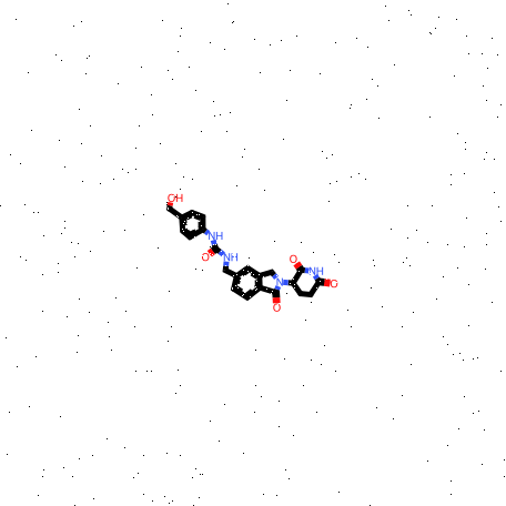 O=C1CCC(N2Cc3cc(CNC(=O)Nc4ccc(CO)cc4)ccc3C2=O)C(=O)N1